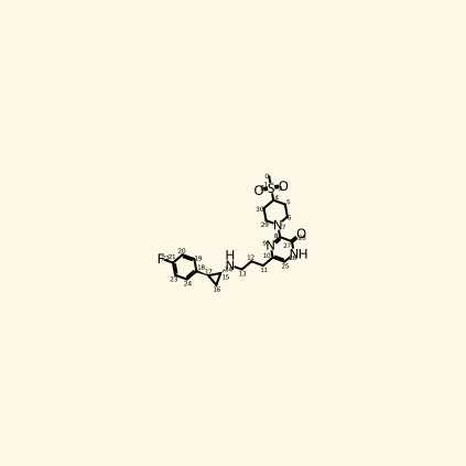 CS(=O)(=O)C1CCN(c2nc(CCCN[C@@H]3C[C@H]3c3ccc(F)cc3)c[nH]c2=O)CC1